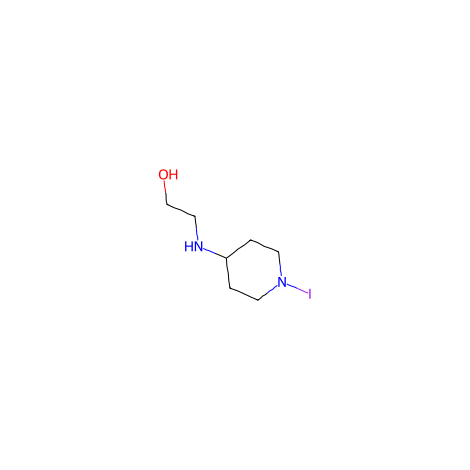 OCCNC1CCN(I)CC1